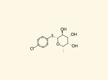 C[C@@H]1O[C@H](Sc2ccc(Cl)cc2)[C@@H](O)[C@H](O)[C@@H]1O